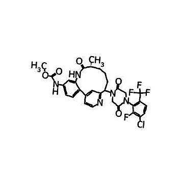 COC(=O)Nc1ccc2c(c1)NC(=O)[C@H](C)CCCC(N1CC(=O)N(c3c(C(F)(F)F)ccc(Cl)c3F)CC1=O)c1cc-2ccn1